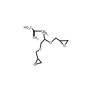 C=C(C)C(=O)O.CC(COCC1CO1)OCC1CO1